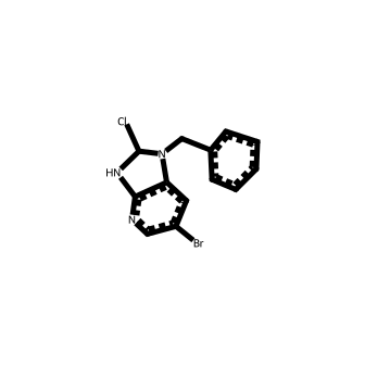 ClC1Nc2ncc(Br)cc2N1Cc1ccccc1